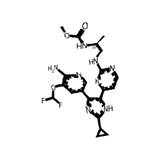 COC(=O)N[C@@H](C)CNc1nccc(-c2[nH]c(C3CC3)nc2-c2cnc(N)c(OC(F)F)c2)n1